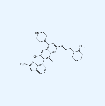 CN1CCCCC1CCOc1nc(N2CCNCC2)c2cc(Cl)c(-c3cccc4sc(N)nc34)c(F)c2n1